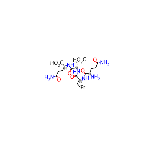 CC(C)C[C@H](NC(=O)[C@@H](N)CCC(N)=O)C(=O)N[C@@H](CC(=O)O)C(=O)N[C@@H](CCC(N)=O)C(=O)O